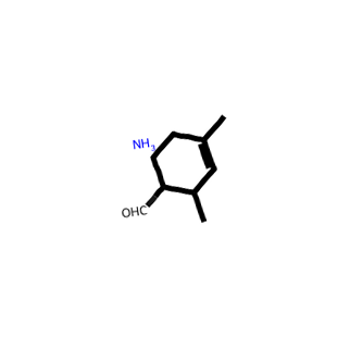 CC1=CC(C)C(C=O)CC1.N